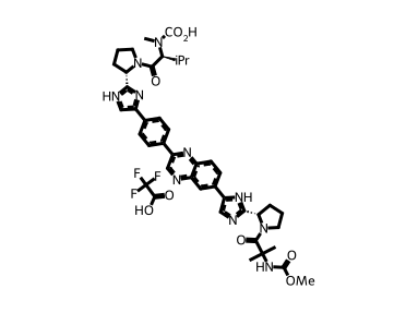 COC(=O)NC(C)(C)C(=O)N1CCC[C@H]1c1ncc(-c2ccc3nc(-c4ccc(-c5c[nH]c([C@@H]6CCCN6C(=O)[C@H](C(C)C)N(C)C(=O)O)n5)cc4)cnc3c2)[nH]1.O=C(O)C(F)(F)F